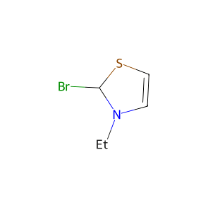 CCN1C=CSC1Br